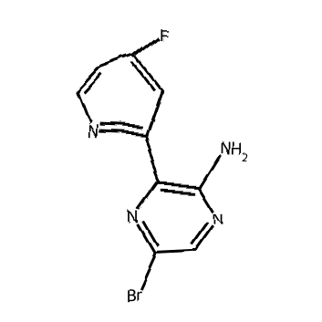 Nc1ncc(Br)nc1-c1cc(F)ccn1